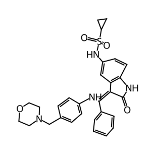 O=C1Nc2ccc(NS(=O)(=O)C3CC3)cc2C1=C(Nc1ccc(CN2CCOCC2)cc1)c1ccccc1